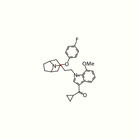 COc1cccc2c(C(=O)C3CC3)cn(CCCN3C4CCC3CC(Oc3ccc(F)cc3)C4)c12